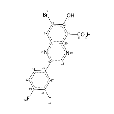 O=C(O)c1c(O)c(Br)cc2nc(-c3ccc(F)c(F)c3)cnc12